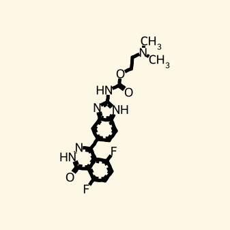 CN(C)CCOC(=O)Nc1nc2cc(-c3n[nH]c(=O)c4c(F)ccc(F)c34)ccc2[nH]1